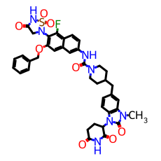 Cn1c(=O)n(C2CCC(=O)NC2=O)c2ccc(CC3CCN(C(=O)Nc4ccc5c(F)c(N6CC(=O)NS6(=O)=O)c(OCc6ccccc6)cc5c4)CC3)cc21